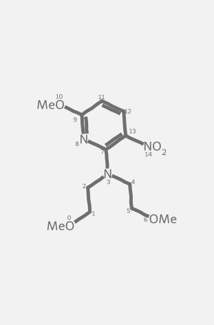 COCCN(CCOC)c1nc(OC)ccc1[N+](=O)[O-]